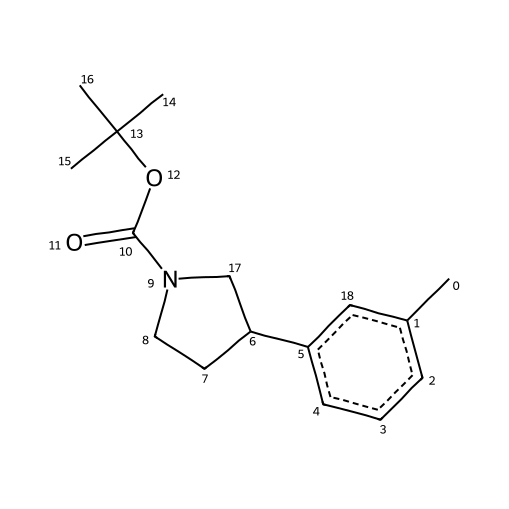 Cc1cccc(C2CCN(C(=O)OC(C)(C)C)C2)c1